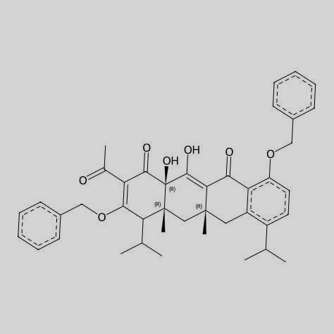 CC(=O)C1=C(OCc2ccccc2)C(C(C)C)[C@@]2(C)C[C@@]3(C)Cc4c(C(C)C)ccc(OCc5ccccc5)c4C(=O)C3=C(O)[C@@]2(O)C1=O